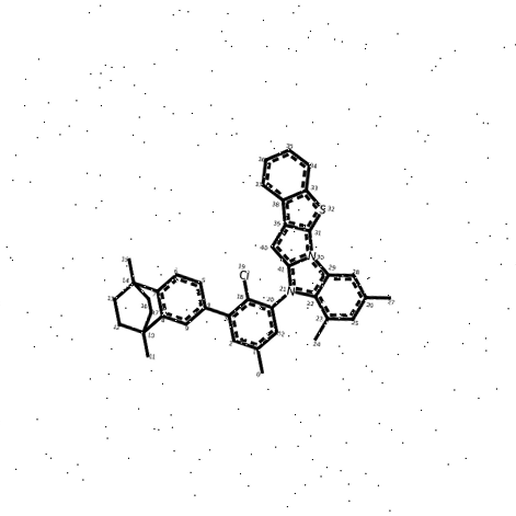 Cc1cc(-c2ccc3c(c2)C2(C)CCC3(C)CC2)c(Cl)c(-n2c3c(C)cc(C)cc3n3c4sc5ccccc5c4cc23)c1